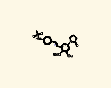 COc1c(/C=C/c2ccc(NS(C)(=O)=O)cc2)cc(N2CCCC2=O)cc1C(C)(C)C